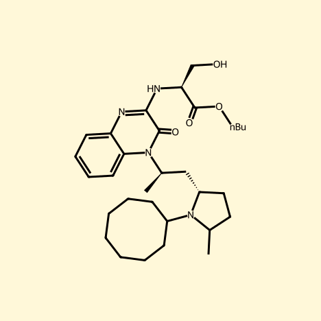 CCCCOC(=O)[C@H](CO)Nc1nc2ccccc2n([C@H](C)C[C@@H]2CCC(C)N2C2CCCCCCC2)c1=O